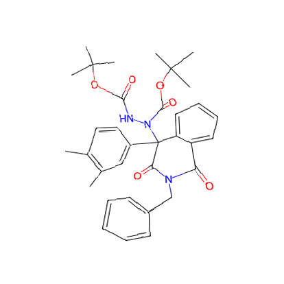 Cc1ccc(C2(N(NC(=O)OC(C)(C)C)C(=O)OC(C)(C)C)C(=O)N(Cc3ccccc3)C(=O)c3ccccc32)cc1C